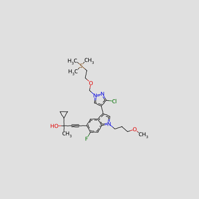 COCCCn1cc(-c2cn(COCCS(C)(C)C)nc2Cl)c2cc(C#CC(C)(O)C3CC3)c(F)cc21